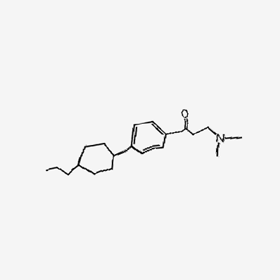 CCCC1CCC(c2ccc(C(=O)CCN(C)C)cc2)CC1